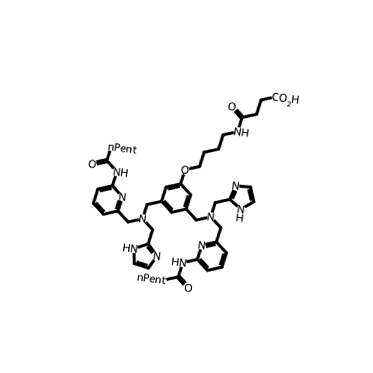 CCCCCC(=O)Nc1cccc(CN(Cc2cc(CN(Cc3cccc(NC(=O)CCCCC)n3)Cc3ncc[nH]3)cc(OCCCCNC(=O)CCC(=O)O)c2)Cc2ncc[nH]2)n1